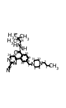 CCCN1CCN(Cc2ccc(C(=O)NNCC(C)(C)C)c(-c3ccnc(C#N)n3)c2)CC1